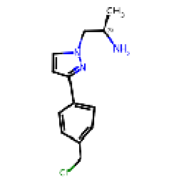 C[C@@H](N)Cn1ccc(-c2ccc(CCl)cc2)n1